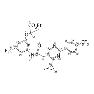 CCOC(=O)C(C)(C)Oc1cc(N(C)C(=O)Cc2cnc(-c3ccc(C(F)(F)F)cc3)nc2C2CC2)cc(C(F)(F)F)c1